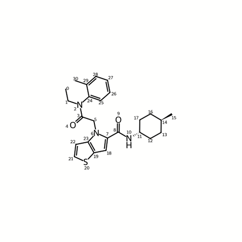 CCN(C(=O)Cn1c(C(=O)N[C@H]2CC[C@H](C)CC2)cc2sccc21)c1ccccc1C